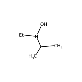 CCN(O)C(C)C